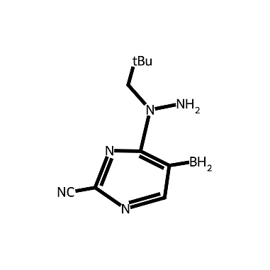 Bc1cnc(C#N)nc1N(N)CC(C)(C)C